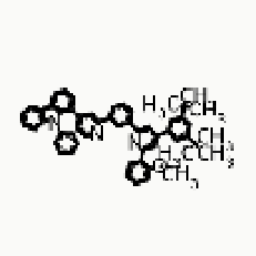 COc1ccccc1-c1cc(-c2cc(C(C)(C)C)cc(C(C)(C)C)c2)cc(-c2cccc(-c3cc(-c4cccc5c6ccccc6n(-c6ccccc6)c45)ccn3)c2)n1